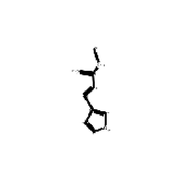 COC(=O)C=Cc1ccoc1